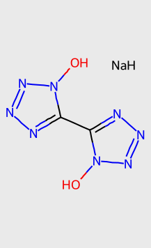 On1nnnc1-c1nnnn1O.[NaH]